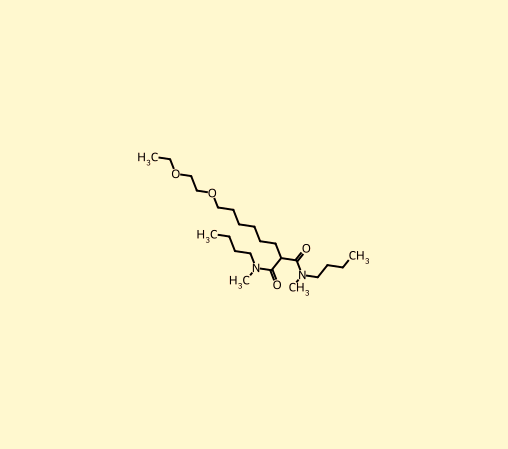 CCCCN(C)C(=O)C(CCCCCCOCCOCC)C(=O)N(C)CCCC